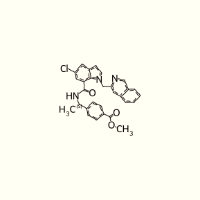 COC(=O)c1ccc([C@H](C)NC(=O)c2cc(Cl)cc3ccn(Cc4cc5ccccc5cn4)c23)cc1